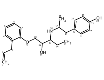 C=CCc1ccccc1OCC(O)C(CC)NC(C)Cc1ccc(O)cc1